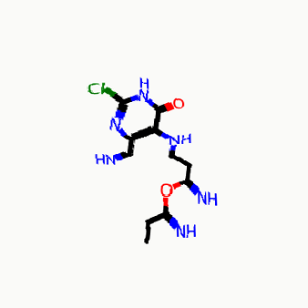 CCC(=N)OC(=N)CCNc1c(C=N)nc(Cl)[nH]c1=O